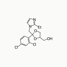 CCc1nccn1CC1(c2ccc(Cl)cc2Cl)OCC(CO)O1